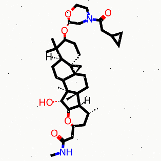 CNC(=O)CC1C[C@@H](C)[C@H]2C(O1)[C@H](O)[C@@]1(C)C3CC[C@H]4C(C)(C)C(O[C@H]5CN(C(=O)CC6CC6)CCO5)CC[C@@]45C[C@@]35CC[C@]21C